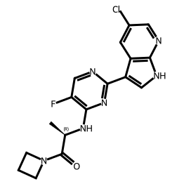 C[C@@H](Nc1nc(-c2c[nH]c3ncc(Cl)cc23)ncc1F)C(=O)N1CCC1